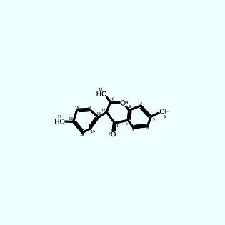 O=C1c2ccc(O)cc2OC(O)C1c1ccc(O)cc1